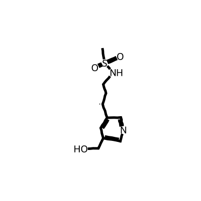 CS(=O)(=O)NCC[CH]c1cncc(CO)c1